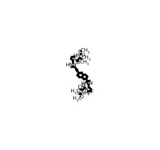 COC(=O)NC(C(=O)N1CCCC1c1nc(C#Cc2ccc3cc(-c4cnc(C5CC(F)(F)CN5C(=O)C(NC(=O)OC)C(C)C)[nH]4)ccc3c2)c[nH]1)C(C)C